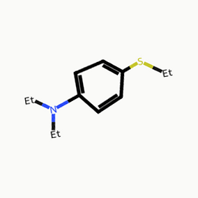 CCSc1ccc(N(CC)CC)cc1